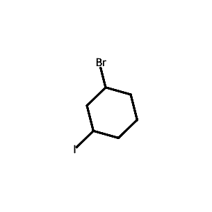 BrC1CCCC(I)C1